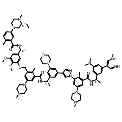 CC[C@@H]1CN(c2ccc(C)c(C(=O)N[C@H](C)c3cc(OC)c(OC)c(OCc4cc(N5CCN(C)CC5)cc(C(=O)N[C@H](C)c5cc(-c6cnn(-c7cc(N8CCN(C)CC8)cc(C(=O)N[C@H](C)c8cc(/C(C=N)=C/NC)cc(N(C)C)c8)c7C)c6)cc(N6CCOCC6)c5)c4C)c3)c2)CCN1C